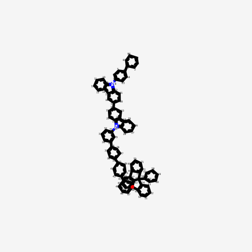 c1ccc(-c2ccc(-n3c4ccccc4c4cc(-c5ccc6c(c5)c5ccccc5n6-c5cccc(-c6ccc(-c7ccc(-c8cccc(-c9ccccc9C9(c%10ccccc%10)c%10ccccc%10-c%10ccccc%109)c8)cc7)cc6)c5)ccc43)cc2)cc1